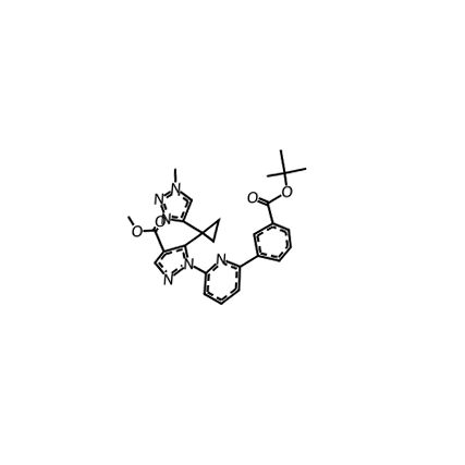 COC(=O)c1cnn(-c2cccc(-c3cccc(C(=O)OC(C)(C)C)c3)n2)c1C1(c2cn(C)nn2)CC1